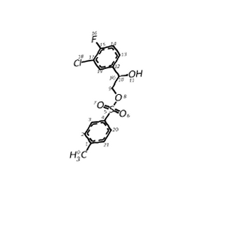 Cc1ccc(S(=O)(=O)OC[C@H](O)c2ccc(F)c(Cl)c2)cc1